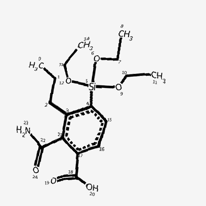 CCCc1c([Si](OCC)(OCC)OCC)ccc(C(=O)O)c1C(N)=O